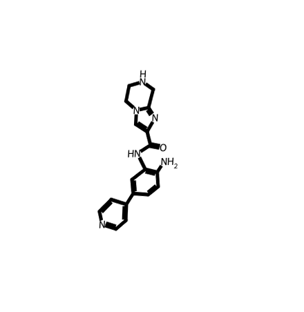 Nc1ccc(-c2ccncc2)cc1NC(=O)c1cn2c(n1)CNCC2